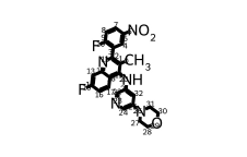 Cc1c(-c2cc([N+](=O)[O-])ccc2F)nc2cc(F)ccc2c1Nc1cncc(N2CCOCC2)c1